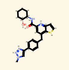 Cn1cc(-c2ccc(Cc3cc(C(=O)N[C@@H]4CCCC[C@H]4O)nc4ccsc34)cc2)nn1